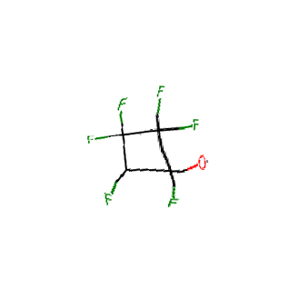 [O]C1(F)C(F)C(F)(F)C1(F)F